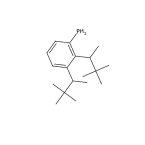 CC(c1cccc(P)c1C(C)C(C)(C)C)C(C)(C)C